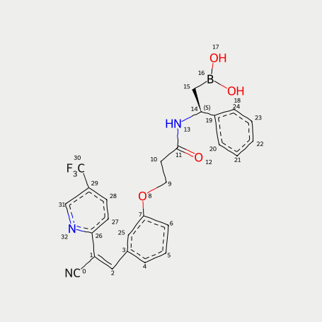 N#CC(=Cc1cccc(OCCC(=O)N[C@@H](CB(O)O)c2ccccc2)c1)c1ccc(C(F)(F)F)cn1